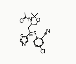 CC(=O)N1C(C[C@@H](Sc2ccc(Cl)cc2C#N)c2cncs2)COC1(C)C